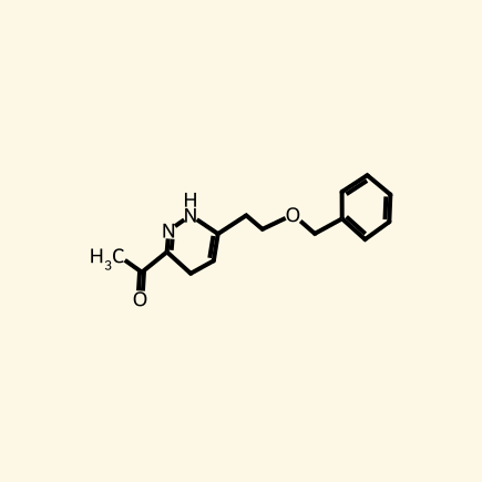 CC(=O)C1=NNC(CCOCc2ccccc2)=CC1